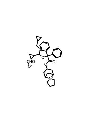 O=C(OC1CC2CCC(C1)[N+]21CCCC1)C(OC(SCC1CC1)C1CC1)(c1ccccc1)c1ccccc1.O=C[O-]